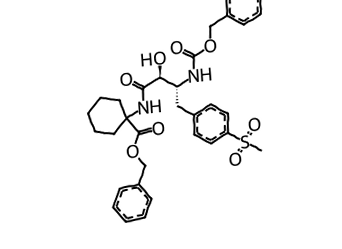 CS(=O)(=O)c1ccc(C[C@@H](NC(=O)OCc2ccccc2)[C@H](O)C(=O)NC2(C(=O)OCc3ccccc3)CCCCC2)cc1